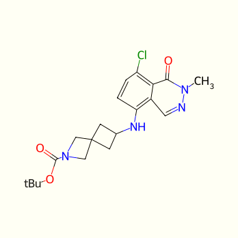 Cn1ncc2c(NC3CC4(C3)CN(C(=O)OC(C)(C)C)C4)ccc(Cl)c2c1=O